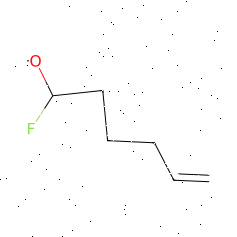 C=CCCCC([O])F